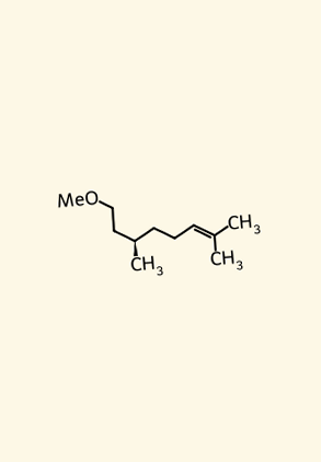 COCC[C@H](C)CCC=C(C)C